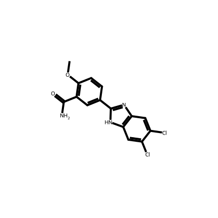 COc1ccc(-c2nc3cc(Cl)c(Cl)cc3[nH]2)cc1C(N)=O